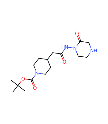 CC(C)(C)OC(=O)N1CCC(CC(=O)NN2CCNCC2=O)CC1